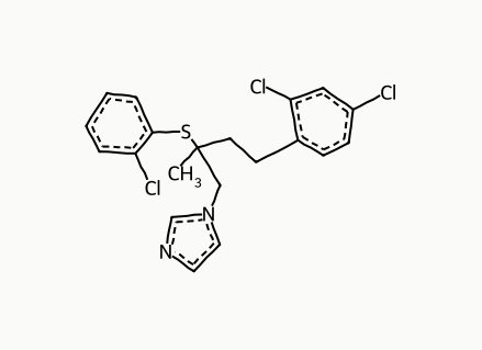 CC(CCc1ccc(Cl)cc1Cl)(Cn1ccnc1)Sc1ccccc1Cl